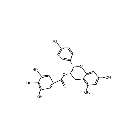 O=C(O[C@@H]1Cc2c(O)cc(O)cc2O[C@H]1c1ccc(O)cc1)c1cc(O)c(O)c(O)c1